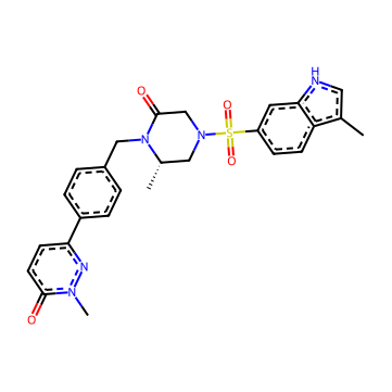 Cc1c[nH]c2cc(S(=O)(=O)N3CC(=O)N(Cc4ccc(-c5ccc(=O)n(C)n5)cc4)[C@@H](C)C3)ccc12